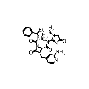 CCC(NC(=O)N1C(=O)[C@H](Cc2ccnc(N)c2)[C@H]1C(=O)N(C)C1=NC(=O)CN1C)c1ccccc1